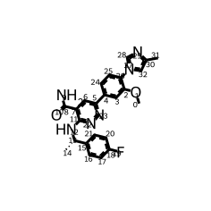 COc1cc(-c2cc(C(N)=O)c(N[C@@H](C)c3ccc(F)cc3)nn2)ccc1-n1cnc(C)c1